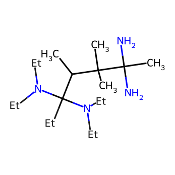 CCN(CC)C(CC)(C(C)C(C)(C)C(C)(N)N)N(CC)CC